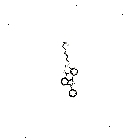 NCCCCCCNc1cccc2c1C(=O)c1cccc3c1c-2nn3-c1ccccc1